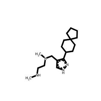 CNCCN(C)Cc1c[nH]nc1C1CCC2(CCCC2)CC1